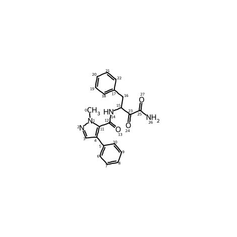 Cn1ncc(-c2ccccc2)c1C(=O)NC(Cc1ccccc1)C(=O)C(N)=O